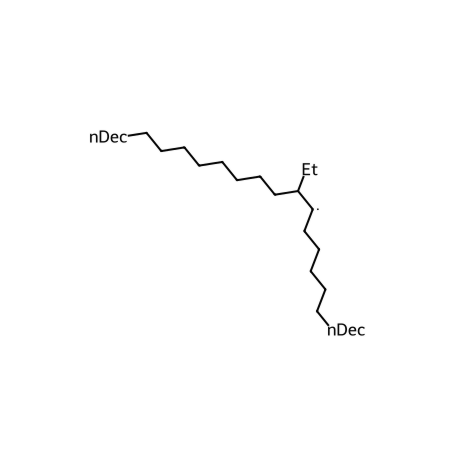 CCCCCCCCCCCCCCC[CH]C(CC)CCCCCCCCCCCCCCCCCC